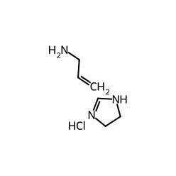 C1=NCCN1.C=CCN.Cl